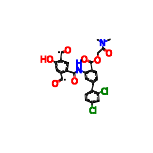 CN(C)C(=O)COC(=O)c1ccc(-c2ccc(Cl)cc2Cl)cc1NC(=O)c1cc([C]=O)c(O)cc1[C]=O